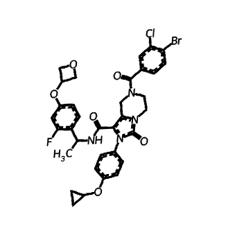 CC(NC(=O)c1c2n(c(=O)n1-c1ccc(OC3CC3)cc1)CCN(C(=O)c1ccc(Br)c(Cl)c1)C2)c1ccc(OC2COC2)cc1F